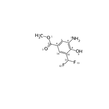 COC(=O)c1cc(N)c(O)c(C(F)F)c1